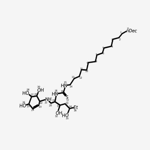 CCCCCCCCCCCCCCCCCCCCCCCCNC(=S)NC(CNC1C=CC(O)C(O)C1O)C(O)CC(O)CC